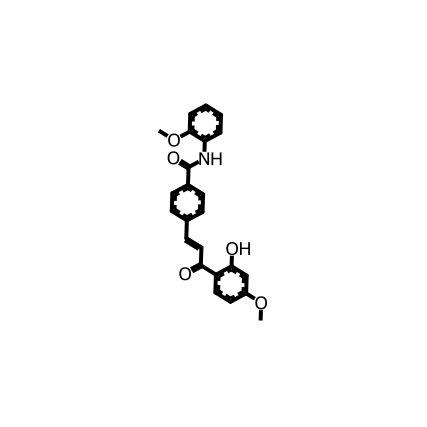 COc1ccc(C(=O)/C=C/c2ccc(C(=O)Nc3ccccc3OC)cc2)c(O)c1